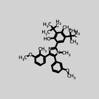 COc1cccc(-c2c(-c3cccc(OC)c3C)nc(-c3cc(C(C)(C)C)c(C)c(C(C)(C)C)c3O)n2C)c1